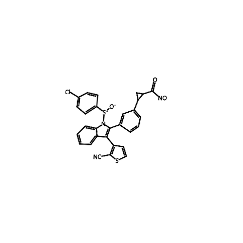 N#Cc1sccc1-c1c(-c2cccc(C3CC3C(=O)N=O)c2)n([S+]([O-])c2ccc(Cl)cc2)c2ccccc12